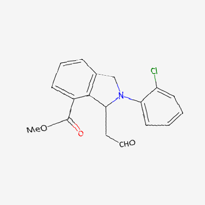 COC(=O)c1cccc2c1C(CC=O)N(c1ccccc1Cl)C2